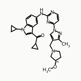 CO[C@@H]1CCN(Cc2cn(-c3ccnc(Nc4ccc5c(c4)c(C(=O)C4CC4)cn5C4CC4)n3)nc2C)C1